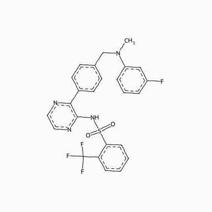 CN(Cc1ccc(-c2nccnc2NS(=O)(=O)c2ccccc2C(F)(F)F)cc1)c1cccc(F)c1